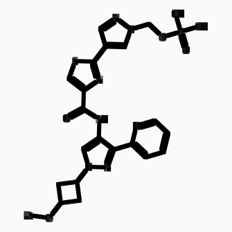 CCOC1CC(n2cc(NC(=O)c3csc(-c4cnn(COP(=O)(O)O)c4)n3)c(-c3ccccn3)n2)C1